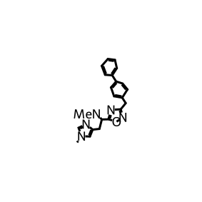 CNC(Cc1cn(C)cn1)c1nc(Cc2ccc(-c3ccccc3)cc2)no1